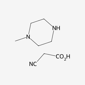 CN1CCNCC1.N#CCC(=O)O